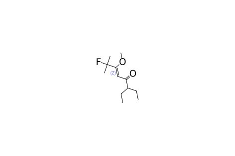 CCC(CC)C(=O)/C=C(\OC)C(C)(C)F